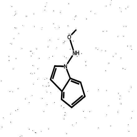 CONn1ccc2ccccc21